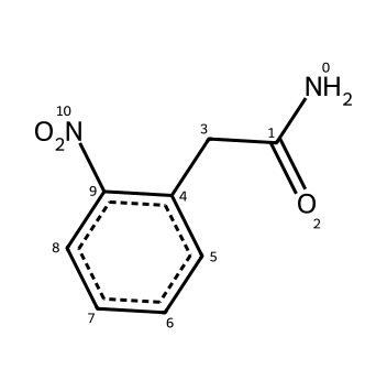 NC(=O)Cc1ccccc1[N+](=O)[O-]